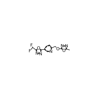 Cc1nnc(OCc2ccc(-c3nnc(C(F)F)o3)cn2)o1